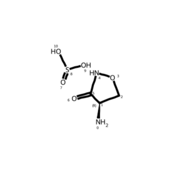 N[C@@H]1CONC1=O.O=S(O)O